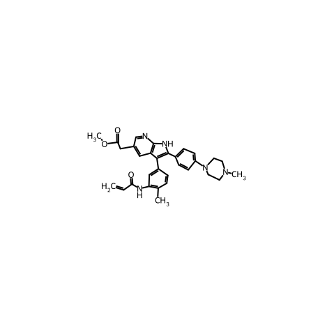 C=CC(=O)Nc1cc(-c2c(-c3ccc(N4CCN(C)CC4)cc3)[nH]c3ncc(CC(=O)OC)cc23)ccc1C